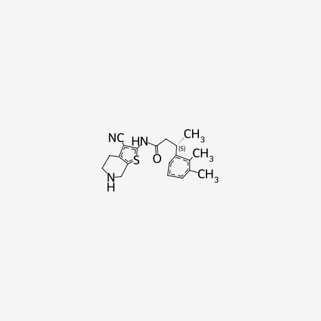 Cc1cccc([C@@H](C)CC(=O)Nc2sc3c(c2C#N)CCNC3)c1C